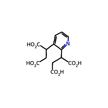 O=C(O)CC(C(=O)O)c1cccnc1C(CC(=O)O)C(=O)O